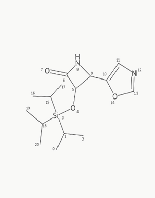 CC(C)[Si](OC1C(=O)NC1c1cnco1)(C(C)C)C(C)C